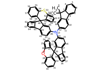 CC1(C)c2ccccc2-c2ccc(N(c3ccc4c(c3)C3(c5ccccc5Oc5ccccc53)c3ccccc3-4)c3ccc4c(c3)C3(c5ccccc5Sc5ccccc53)c3ccccc3-4)cc21